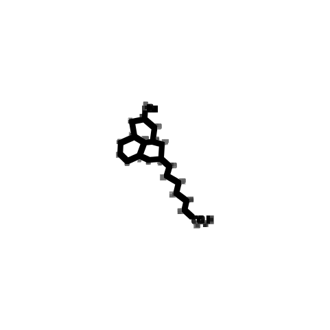 CCCCC1CC2CCCC3CC(CCCCCCC(=O)O)CC(C1)C23